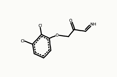 N=CC(=O)COc1cccc(Cl)c1Cl